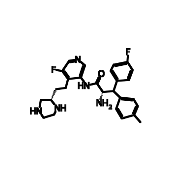 Cc1ccc(C(c2ccc(F)cc2)[C@H](N)C(=O)Nc2cncc(F)c2CC[C@H]2CNCCN2)cc1